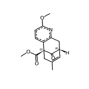 COC(=O)[C@@]12CC(C)=C[C@@H](Cc3nc(OC)ccc31)C2=O